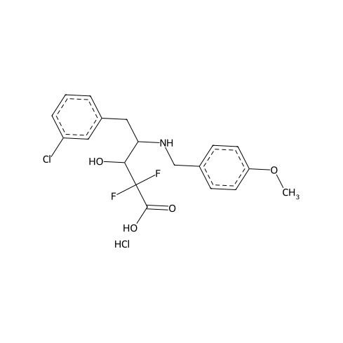 COc1ccc(CNC(Cc2cccc(Cl)c2)C(O)C(F)(F)C(=O)O)cc1.Cl